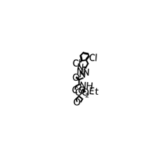 CCOC(=O)CC(NC(=O)OC1CCOC1)C(=O)Cn1nnc(Cc2c(Cl)cccc2Cl)n1